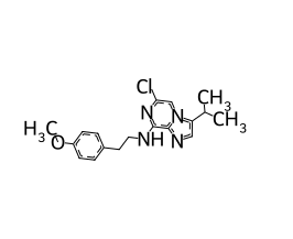 COc1ccc(CCNc2nc(Cl)cn3c(C(C)C)cnc23)cc1